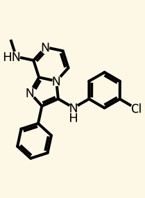 CNc1nccn2c(Nc3cccc(Cl)c3)c(-c3ccccc3)nc12